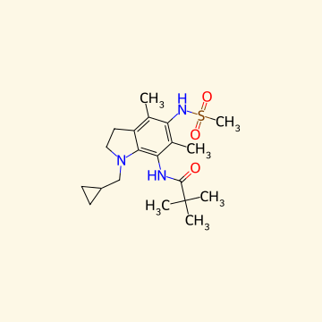 Cc1c2c(c(NC(=O)C(C)(C)C)c(C)c1NS(C)(=O)=O)N(CC1CC1)CC2